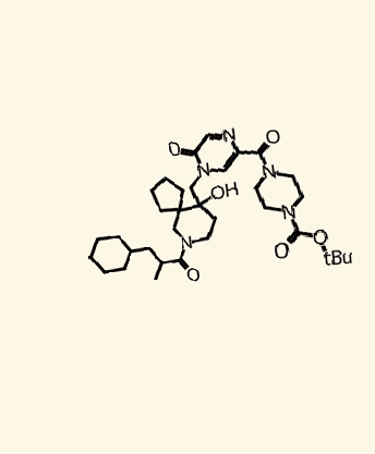 CC(CC1CCCCC1)C(=O)N1CCC(O)(Cn2cc(C(=O)N3CCN(C(=O)OC(C)(C)C)CC3)ncc2=O)C2(CCCC2)C1